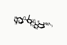 Cc1cc(Nc2ncnc3ccc(N)c(F)c23)c(F)cc1Oc1ccn2ncnc2c1